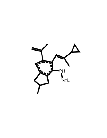 C=C(C)c1cc2c(c(PN)c1/C=C(\C)C1CC1)CC(C)C2